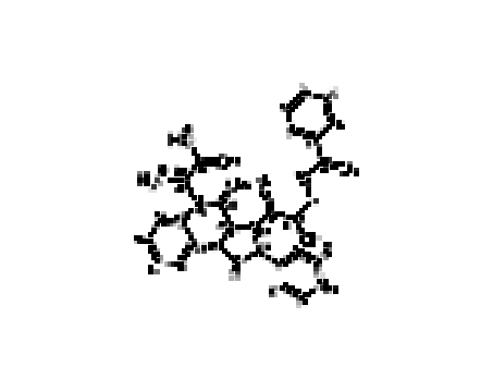 C[C@H](CSC(=O)c1ccccc1)C(=O)N1C(c2ccncc2)SC[C@H]1C(=O)N(c1ccccc1)[C@@H](C)C(=O)O